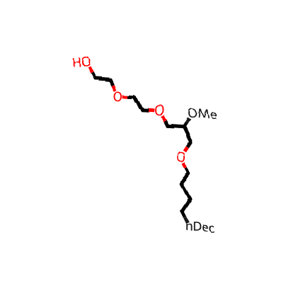 CCCCCCCCCCCCCCOCC(COCCOCCO)OC